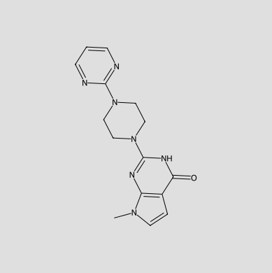 Cn1ccc2c(=O)[nH]c(N3CCN(c4ncccn4)CC3)nc21